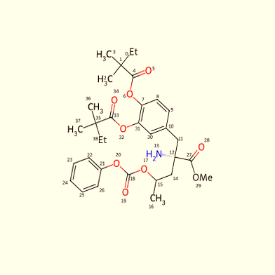 CCC(C)(C)C(=O)Oc1ccc(C[C@](N)(CC(C)OC(=O)Oc2ccccc2)C(=O)OC)cc1OC(=O)C(C)(C)CC